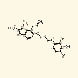 C=CCc1c(OCCCOc2ccc(C(C)=O)c(O)c2CCC)ccc2oc(C(=O)O)c(C)c12